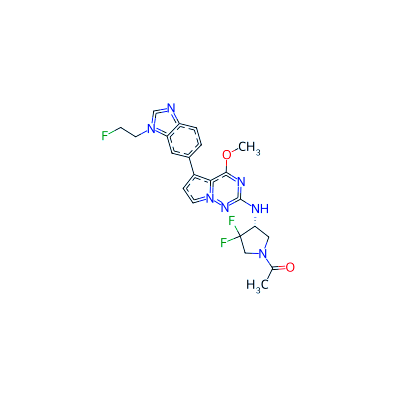 COc1nc(N[C@@H]2CN(C(C)=O)CC2(F)F)nn2ccc(-c3ccc4ncn(CCF)c4c3)c12